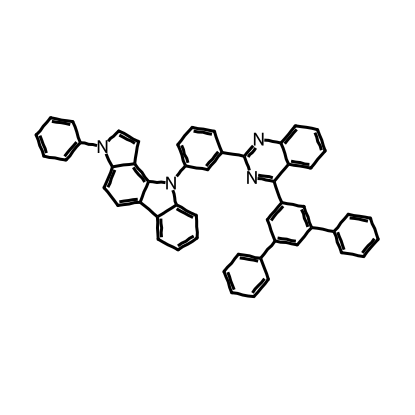 c1ccc(-c2cc(-c3ccccc3)cc(-c3nc(-c4cccc(-n5c6ccccc6c6ccc7c(ccn7-c7ccccc7)c65)c4)nc4ccccc34)c2)cc1